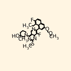 CCc1c(F)ccc2cc(OCOC)cc(-c3ncc4c(N5CCC[C@@](C)(O)C5)nc(SC)nc4c3F)c12